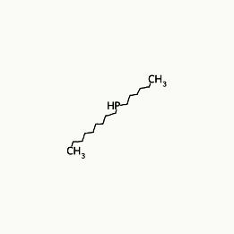 CCCCCCCCCPCCCCCC